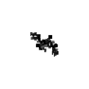 N#CCC1(n2cc(C(N)=O)c(CNc3ccc(F)cc3)n2)CCN(C(=O)OCC(F)(F)F)CC1